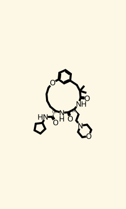 CC1(C)Cc2cccc(c2)OCCCC[C@@H](C(=O)NC2CCCC2)NC(=O)[C@H](CCN2CCOCC2)NC1=O